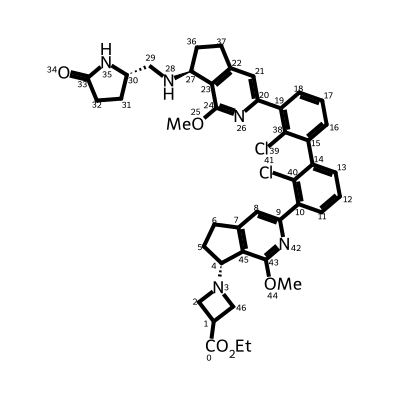 CCOC(=O)C1CN([C@@H]2CCc3cc(-c4cccc(-c5cccc(-c6cc7c(c(OC)n6)[C@@H](NC[C@@H]6CCC(=O)N6)CC7)c5Cl)c4Cl)nc(OC)c32)C1